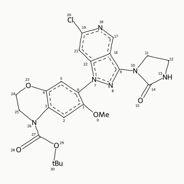 COc1cc2c(cc1-n1nc(N3CCNC3=O)c3cnc(Cl)cc31)OCCN2C(=O)OC(C)(C)C